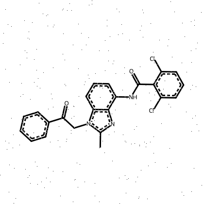 Cc1nc2c(NC(=O)c3c(Cl)cccc3Cl)cccc2n1CC(=O)c1ccccc1